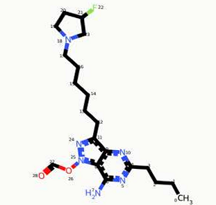 CCCCc1nc(N)c2c(n1)c(CCCCCCN1CCC(F)C1)nn2OC=O